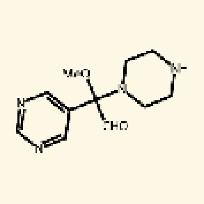 COC(C=O)(c1cncnc1)N1CCNCC1